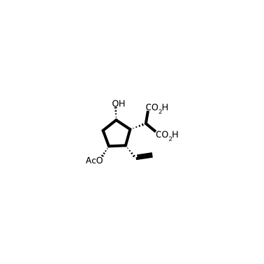 C=C[C@H]1[C@@H](C(C(=O)O)C(=O)O)[C@@H](O)C[C@H]1OC(C)=O